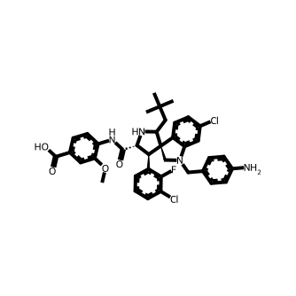 COc1cc(C(=O)O)ccc1NC(=O)[C@@H]1NC(CC(C)(C)C)[C@@]2(CN(Cc3ccc(N)cc3)c3cc(Cl)ccc32)[C@H]1c1cccc(Cl)c1F